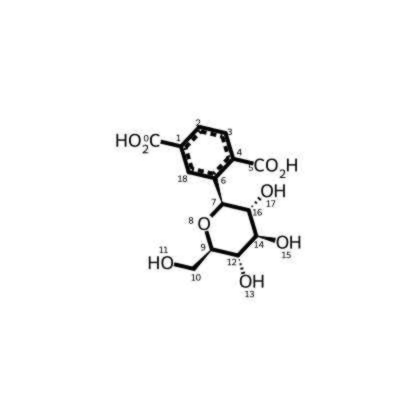 O=C(O)c1ccc(C(=O)O)c([C@@H]2O[C@H](CO)[C@@H](O)[C@H](O)[C@H]2O)c1